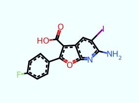 Nc1nc2oc(-c3ccc(F)cc3)c(C(=O)O)c2cc1I